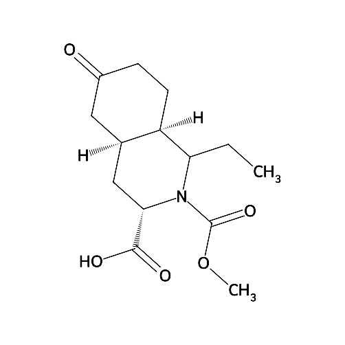 CCC1[C@@H]2CCC(=O)C[C@@H]2C[C@@H](C(=O)O)N1C(=O)OC